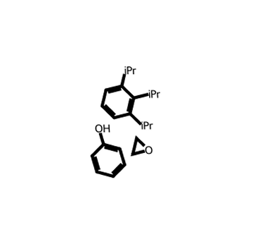 C1CO1.CC(C)c1cccc(C(C)C)c1C(C)C.Oc1ccccc1